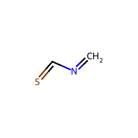 C=NC=S